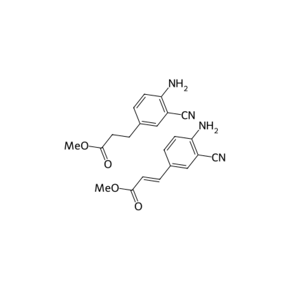 COC(=O)C=Cc1ccc(N)c(C#N)c1.COC(=O)CCc1ccc(N)c(C#N)c1